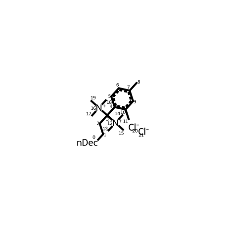 CCCCCCCCCCCCC(c1ccc(C)cc1C)([N+](C)(C)C)[N+](C)(C)C.[Cl-].[Cl-]